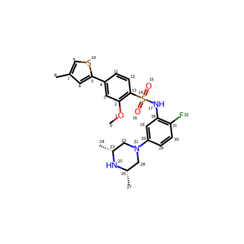 COc1cc(-c2cc(C)cs2)ccc1S(=O)(=O)Nc1cc(N2C[C@@H](C)N[C@@H](C)C2)ccc1F